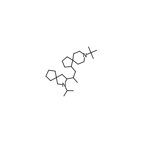 CC(CC1CCCC12CCN(C(C)(C)C)CC2)C1CC2(CCCC2)CN1C(C)C